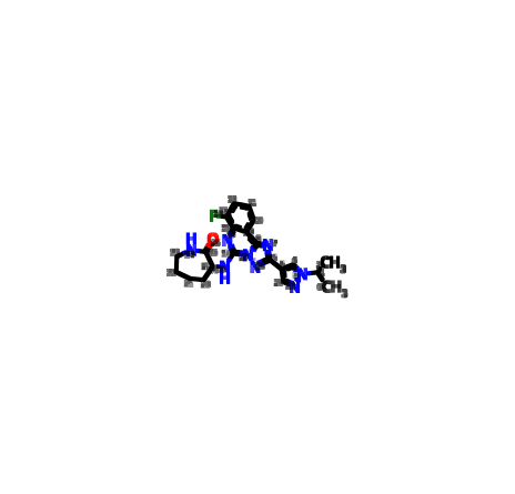 CC(C)n1cc(-c2nc3c4cccc(F)c4nc(N[C@@H]4CCCCNC4=O)n3n2)cn1